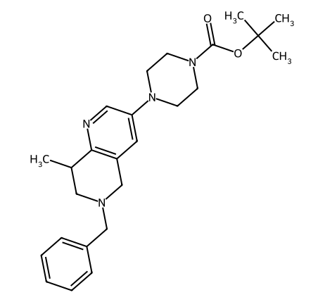 CC1CN(Cc2ccccc2)Cc2cc(N3CCN(C(=O)OC(C)(C)C)CC3)cnc21